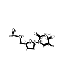 Cc1cn([C@H]2CC[C@@H](COP=O)O2)c(=O)[nH]c1=O